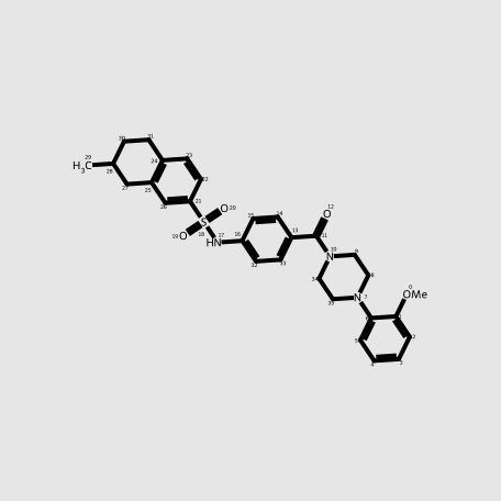 COc1ccccc1N1CCN(C(=O)c2ccc(NS(=O)(=O)c3ccc4c(c3)CC(C)CC4)cc2)CC1